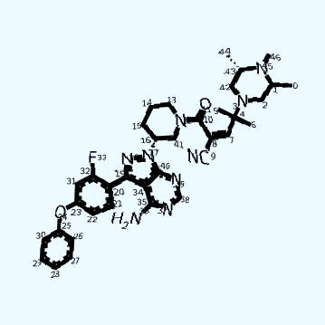 CC1CN(C(C)(C)/C=C(/C#N)C(=O)N2CCC[C@@H](n3nc(-c4ccc(Oc5ccccc5)cc4F)c4c(N)ncnc43)C2)C[C@H](C)N1C